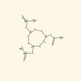 O=C(O)CN1CCN(C[PH](=O)O)CCN(C[PH](=O)O)CC1